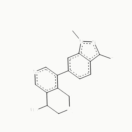 Cn1nc(F)c2ccc(-c3cncc4c3COCC4O)cc21